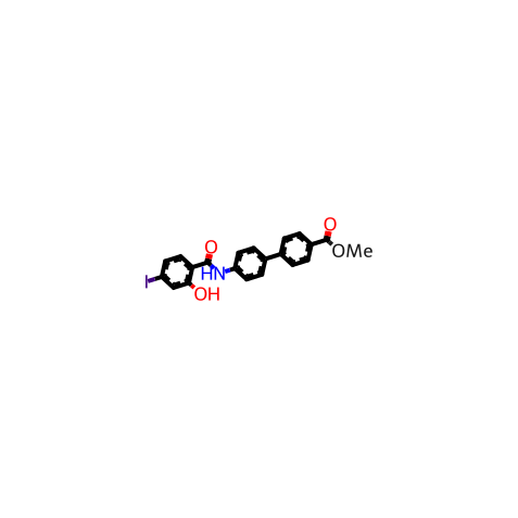 COC(=O)c1ccc(-c2ccc(NC(=O)c3ccc(I)cc3O)cc2)cc1